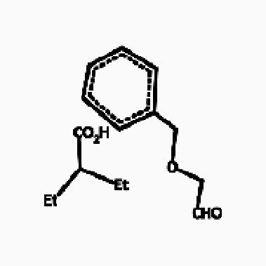 CCC(CC)C(=O)O.O=CCOCc1ccccc1